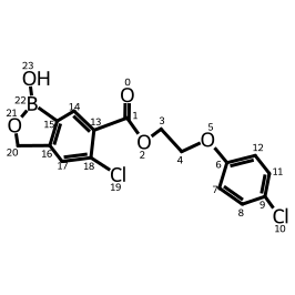 O=C(OCCOc1ccc(Cl)cc1)c1cc2c(cc1Cl)COB2O